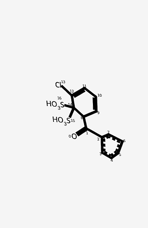 O=C(c1ccccc1)C1C=CC=C(Cl)C1(S(=O)(=O)O)S(=O)(=O)O